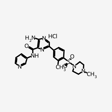 Cc1cc(-c2cnc(N)c(C(=O)Nc3cccnc3)n2)ccc1S(=O)(=O)N1CCN(C)CC1.Cl